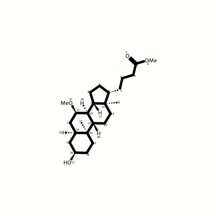 COC(=O)CCC[C@H]1CC[C@H]2[C@@H]3[C@H](OC)C[C@@H]4C[C@H](O)CC[C@]4(C)[C@H]3CC[C@]12C